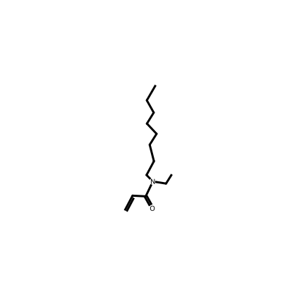 C=CC(=O)N(CC)CCCCCCCC